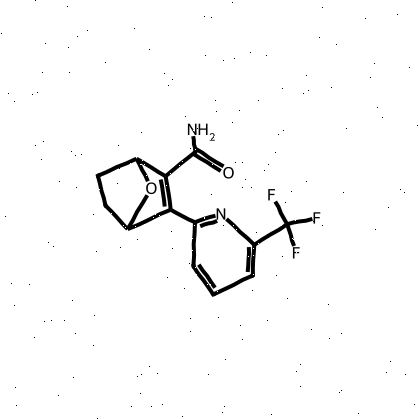 NC(=O)C1=C(c2cccc(C(F)(F)F)n2)C2CCC1O2